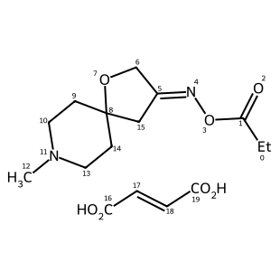 CCC(=O)ON=C1COC2(CCN(C)CC2)C1.O=C(O)C=CC(=O)O